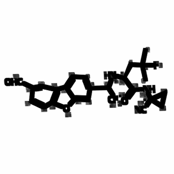 CC(C)(F)C[C@H](NC(c1ccc2c(c1)oc1ccc(C=O)cc12)C(F)(F)F)C(=O)NC1(C#N)CC1